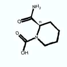 NC(=O)[C@H]1CCCCN1C(=O)O